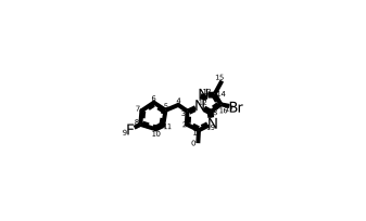 Cc1cc(Cc2ccc(F)cc2)n2nc(C)c(Br)c2n1